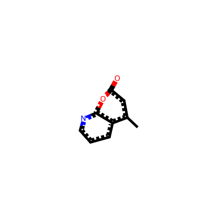 Cc1cc(=O)oc2ncccc12